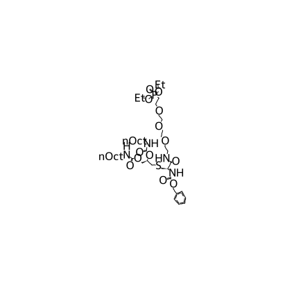 CCCCCCCCNC(=O)OC[C@H](CSC[C@H](NC(=O)OCc1ccccc1)C(=O)NCCOCCOCCOCCP(=O)(OCC)OCC)OC(=O)NCCCCCCCC